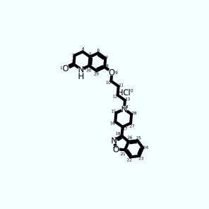 Cl.O=C1CCc2ccc(OCCCCN3CCC(c4noc5ccccc45)CC3)cc2N1